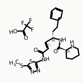 CSc1nnc(NC(=O)/C=C/[C@H](CCc2ccccc2)NC(=O)[C@@H]2CCCCN2)s1.O=C(O)C(F)(F)F